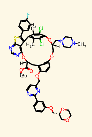 Cc1c(Cl)c2c(Cl)c(C)c1-c1c(-c3ccc(F)cc3)sc3ncnc(c13)O[C@@H](C(=O)OC(C)(C)C)Cc1cc(ccc1OCc1ccnc(-c3cccc(OC[C@H]4COCCO4)c3)n1)OC[C@@H](CN1CCN(C)CC1)O2